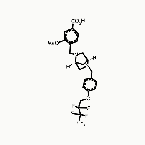 COc1cc(C(=O)O)ccc1CN1C[C@@H]2C[C@H]1CN2Cc1ccc(OCC(F)(F)C(F)(F)C(F)(F)F)cc1